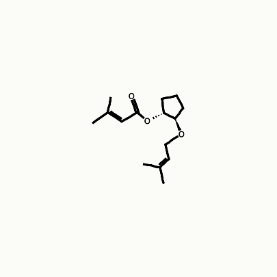 CC(C)=CCO[C@@H]1CCC[C@H]1OC(=O)C=C(C)C